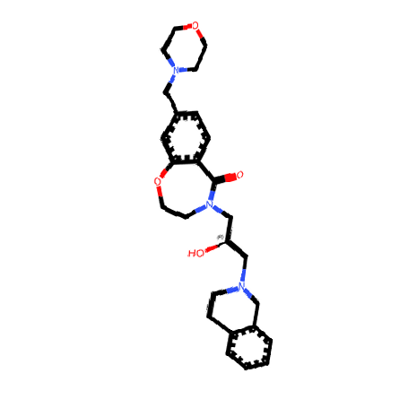 O=C1c2ccc(CN3CCOCC3)cc2OCCN1C[C@H](O)CN1CCc2ccccc2C1